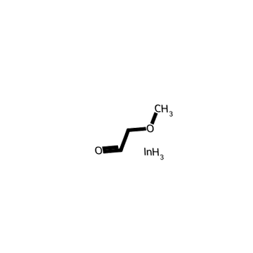 COCC=O.[InH3]